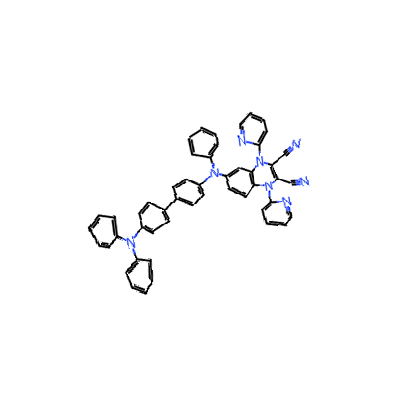 N#CC1=C(C#N)N(c2ccccn2)c2cc(N(c3ccccc3)c3ccc(-c4ccc(N(c5ccccc5)c5ccccc5)cc4)cc3)ccc2N1c1ccccn1